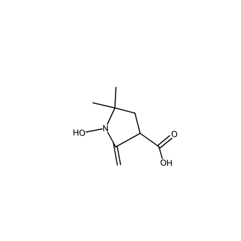 C=C1C(C(=O)O)CC(C)(C)N1O